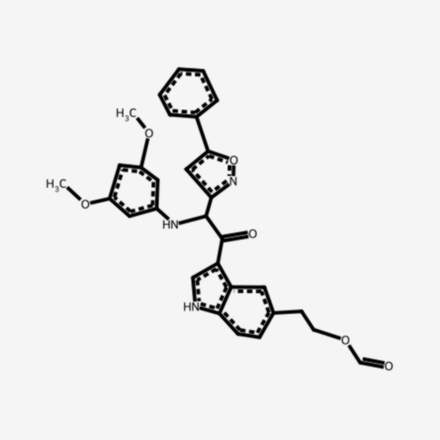 COc1cc(NC(C(=O)c2c[nH]c3ccc(CCOC=O)cc23)c2cc(-c3ccccc3)on2)cc(OC)c1